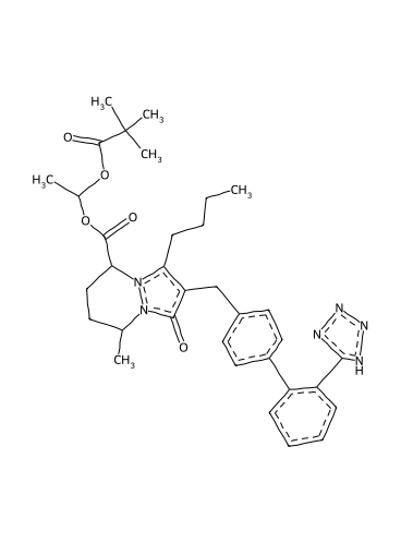 CCCCc1c(Cc2ccc(-c3ccccc3-c3nnn[nH]3)cc2)c(=O)n2n1C(C(=O)OC(C)OC(=O)C(C)(C)C)CCC2C